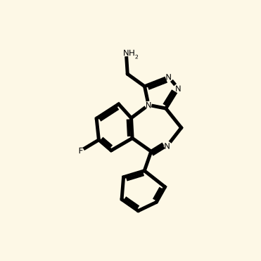 NCc1nnc2n1-c1ccc(F)cc1C(c1ccccc1)=NC2